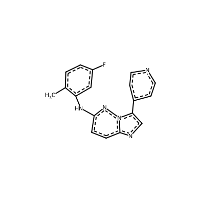 Cc1ccc(F)cc1Nc1ccc2ncc(-c3ccncc3)n2n1